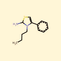 CCCCN1C(c2ccccc2)=CSC1N